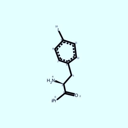 CC(C)C(=O)[C@@H](N)Cc1ccc(I)cc1